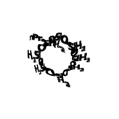 CCC[SiH]1O[SiH2]O[SiH2]O[SiH2]O[SiH2]O[SiH2]O[SiH2]O[SiH2]O1